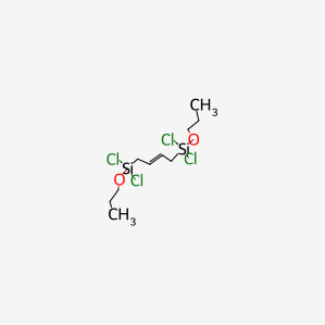 CCCO[Si](Cl)(Cl)CC=CC[Si](Cl)(Cl)OCCC